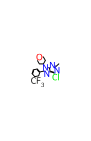 Cc1nc(Cl)c2nc(C3=CC=CC(C(F)(F)F)C3)n(C3CCOCC3)c2n1